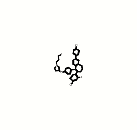 Oc1ccc(-c2ccc3c(c2)CCCC(c2ccc(Cl)cc2Cl)=C3c2ccc(OC3CCN(CCCF)C3)cc2)cc1